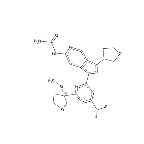 CO[C@@]1(c2cc(C(F)F)cc(-c3cc(C4CCOC4)n4cnc(NC(N)=O)cc34)n2)CCOC1